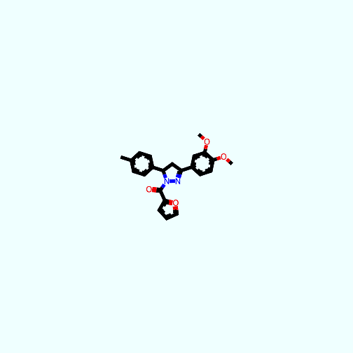 COc1ccc(C2=NN(C(=O)c3ccco3)C(c3ccc(C)cc3)C2)cc1OC